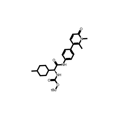 Cc1c(-c2ccc(NC(=O)[C@@H](NC(=O)OC(C)(C)C)C3CCC(C)CC3)cc2)ccc(=O)n1C